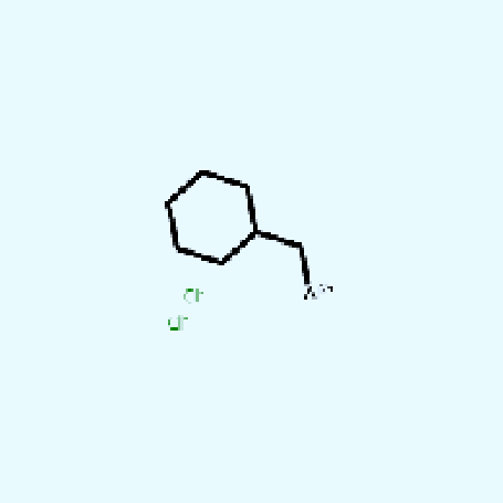 [Al+2][CH2]C1CCCCC1.[Cl-].[Cl-]